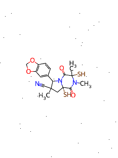 CN1C(=O)C2(S)CC(C)(C#N)C(c3ccc4c(c3)OCO4)N2C(=O)C1(C)S